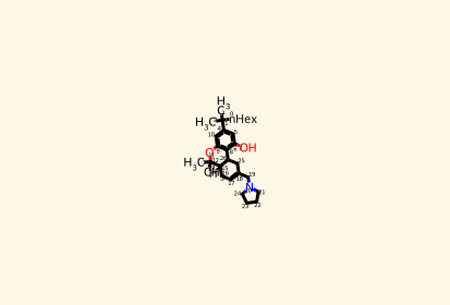 CCCCCCC(C)(C)c1cc(O)c2c(c1)OC(C)(C)[C@H]1CC=C(CN3CCCC3)CC21